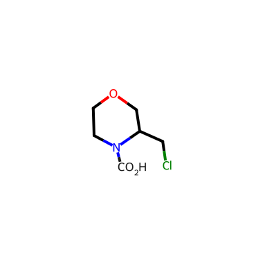 O=C(O)N1CCOCC1CCl